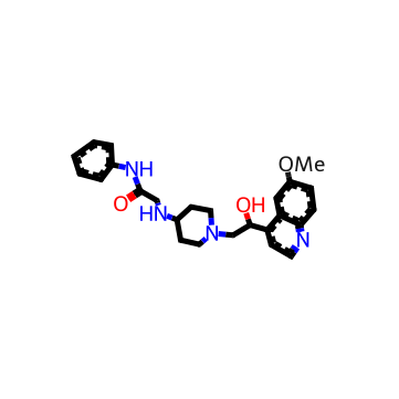 COc1ccc2nccc(C(O)CN3CCC(NCC(=O)Nc4ccccc4)CC3)c2c1